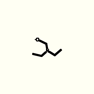 CCN(CC)C[O]